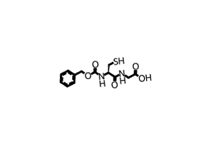 O=C(O)CNC(=O)[C@H](CS)NC(=O)OCc1ccccc1